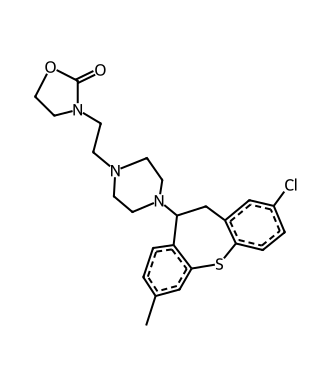 Cc1ccc2c(c1)Sc1ccc(Cl)cc1CC2N1CCN(CCN2CCOC2=O)CC1